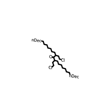 CCCCCCCCCCCCCCCCCC(CCCl)C(=O)C(CCCl)CCCCCCCCCCCCCCCCC